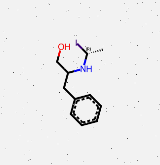 C[C@@H](I)NC(CO)Cc1ccccc1